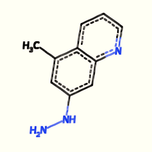 Cc1cc(NN)cc2ncccc12